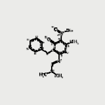 Cc1nc(N=CN(C)C)n(Cc2ccccc2)c(=O)c1[N+](=O)[O-]